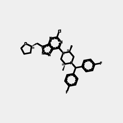 C[C@@H]1CN(c2nc(Cl)nc3c2nnn3C[C@@H]2CCCO2)[C@@H](C)CN1C(c1ccc(F)cc1)c1ccc(F)cc1